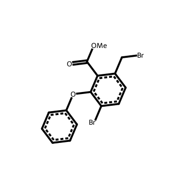 COC(=O)c1c(CBr)ccc(Br)c1Oc1ccccc1